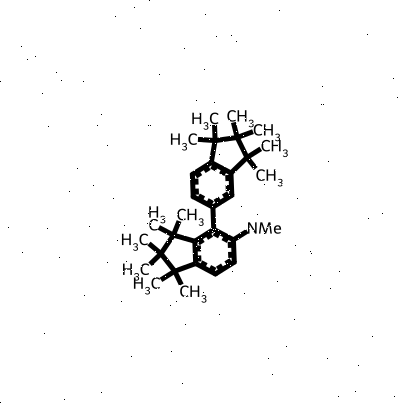 CNc1ccc2c(c1-c1ccc3c(c1)C(C)(C)C(C)(C)C3(C)C)C(C)(C)C(C)(C)C2(C)C